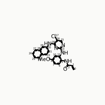 C=CC(=O)Nc1ccc(OC)cc1Nc1ncc(Cl)c(Nc2ccc3ccccc3c2)n1